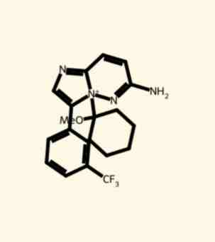 COC1([N+]23N=C(N)C=CC2=NC=C3c2cccc(C(F)(F)F)c2)CCCCC1